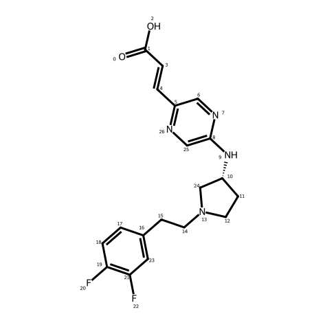 O=C(O)C=Cc1cnc(N[C@@H]2CCN(CCc3ccc(F)c(F)c3)C2)cn1